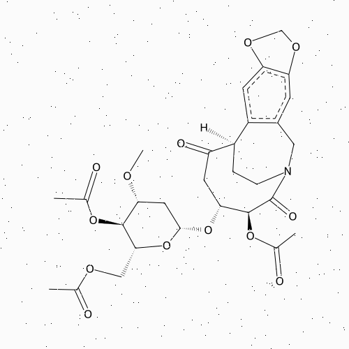 CO[C@@H]1C[C@H](O[C@@H]2CC(=O)[C@@H]3CCN(Cc4cc5c(cc43)OCO5)C(=O)[C@H]2OC(C)=O)O[C@H](COC(C)=O)[C@H]1OC(C)=O